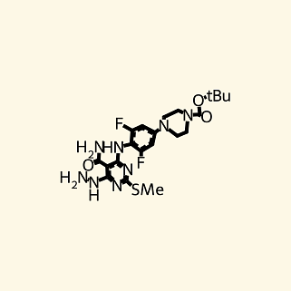 CSc1nc(NN)c(C(N)=O)c(Nc2c(F)cc(N3CCN(C(=O)OC(C)(C)C)CC3)cc2F)n1